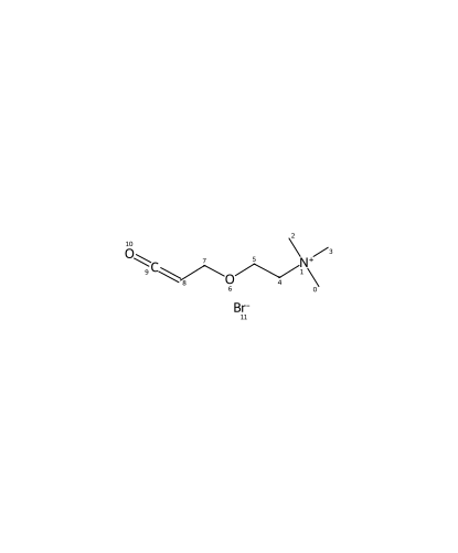 C[N+](C)(C)CCOCC=C=O.[Br-]